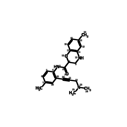 Cc1ccc(NC(=O)C2CNc3cc(C)ccc3O2)c(C#CCN(C)C)c1